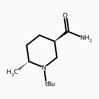 C[C@@H]1CC[C@@H](C(N)=O)CN1C(C)(C)C